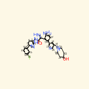 N=C(C(=O)Nc1ccc(-c2cccc(F)c2)nc1)c1cc(-c2cncc(CN3CCC(O)CC3)c2)ccc1N